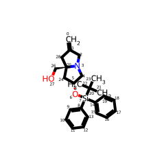 C=C1CN2C[C@H](O[Si](c3ccccc3)(c3ccccc3)C(C)(C)C)C[C@]2(CO)C1